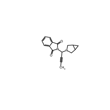 CC#CC(N1CC2CC2C1)N1C(=O)c2ccccc2C1=O